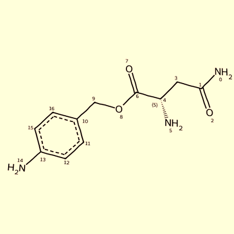 NC(=O)C[C@H](N)C(=O)OCc1ccc(N)cc1